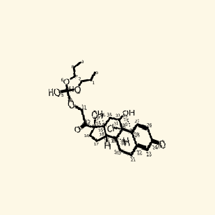 CCCOC(O)(OCCC)OCC(=O)[C@@]1(O)CC[C@H]2[C@@H]3CCC4=CC(=O)C=C[C@]4(C)[C@@]3(Cl)C(O)C[C@@]21C